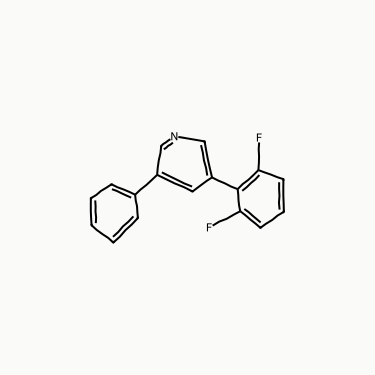 Fc1cccc(F)c1-c1cncc(-c2ccccc2)c1